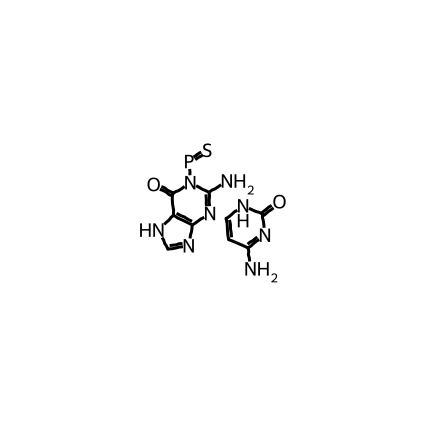 Nc1cc[nH]c(=O)n1.Nc1nc2nc[nH]c2c(=O)n1P=S